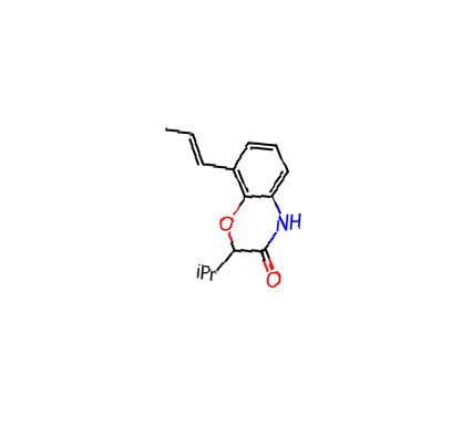 CC=Cc1cccc2c1OC(C(C)C)C(=O)N2